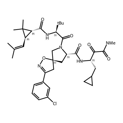 CNC(=O)C(=O)[C@H](CC1CC1)NC(=O)[C@@H]1C[C@]2(CC(c3cccc(Cl)c3)=NO2)CN1C(=O)[C@@H](NC(=O)[C@@H]1[C@@H](C=C(C)C)C1(C)C)C(C)(C)C